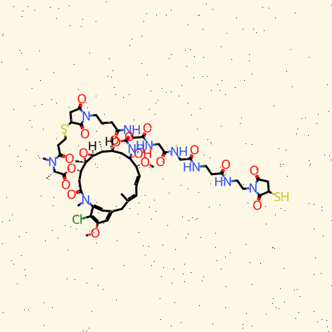 COc1cc2cc(c1Cl)N(C)C(=O)C[C@H](OC(=O)[C@H](C)N(C)C(=O)CCSC1CC(=O)N(CCCC(=O)NCC(=O)NCC(=O)NCC(=O)NCCC(=O)NCCN3C(=O)CC(S)C3=O)C1=O)[C@]1(C)O[C@H]1[C@H](C)[C@@H]1C[C@@](O)(NC(=O)O1)[C@H](OC)/C=C/C=C(\C)C2